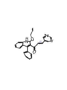 C=CCOC1Nc2ccccc2C(c2ccccc2)=C1C(=O)/C=C/c1cncnc1